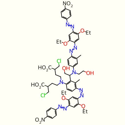 CCOc1cc(N=Nc2ccc(N(CCO)C(CO)c3c(N(CCC(CCl)C(=O)O)CCC(CCl)C(=O)O)ccc(N=Nc4cc(OCC)c(N=Nc5ccc([N+](=O)[O-])cc5)cc4OCC)c3C)cc2C)c(OCC)cc1N=Nc1ccc([N+](=O)[O-])cc1